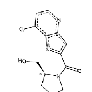 O=C(c1cc2nccc(Cl)c2s1)N1CCC[C@H]1CO